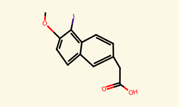 COc1ccc2cc(CC(=O)O)ccc2c1I